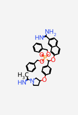 CC(=N)N1CCC(Oc2ccc(C(Oc3ccc4ccc(C(=N)N)cc4c3)P(=O)(OCc3ccccc3)OCc3ccccc3)cc2)C1